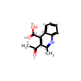 CC(=O)c1c(C)nc2ccccc2c1C(=O)O